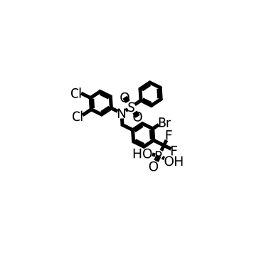 O=P(O)(O)C(F)(F)c1ccc(CN(c2ccc(Cl)c(Cl)c2)S(=O)(=O)c2ccccc2)cc1Br